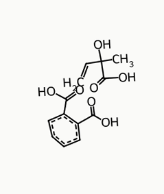 C=CC(C)(O)C(=O)O.O=C(O)c1ccccc1C(=O)O